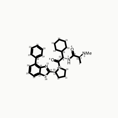 CN[C@@H](C)C(=O)N[C@H](C(=O)N1CCC[C@H]1c1nc2c(-c3ccccc3)cccc2s1)C1CCCCC1